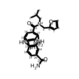 CC(C)CN(Cc1ccco1)C(=O)c1cc2[nH]c3ccc(C(N)=O)cc3[nH]c1c(N)c2N